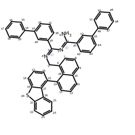 N/C(=N\C(=N/Cc1cccc2cccc(-c3cccc4sc5ccccc5c34)c12)c1cccc(-c2ccccc2)c1)c1cccc(-c2ccccc2)c1